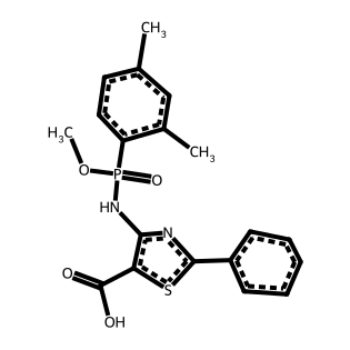 COP(=O)(Nc1nc(-c2ccccc2)sc1C(=O)O)c1ccc(C)cc1C